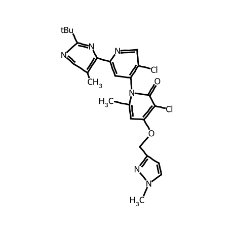 Cc1cnc(C(C)(C)C)nc1-c1cc(-n2c(C)cc(OCc3ccn(C)n3)c(Cl)c2=O)c(Cl)cn1